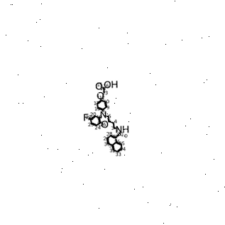 C[C@@H](NCCC1CN(c2ccc(OCC(=O)O)cc2)c2cc(F)ccc2O1)c1cccc2ccccc12